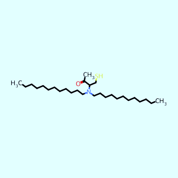 CCCCCCCCCCCCN(CCCCCCCCCCCC)C(CS)C(C)=O